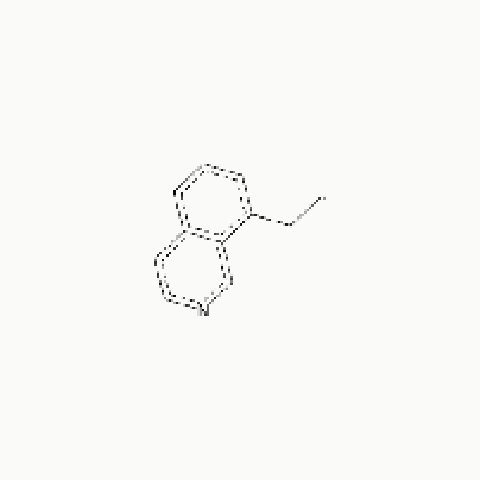 [CH2]Cc1cccc2ccncc12